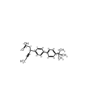 CC#CC(CC(=O)O)c1ccc(-c2ccc(C(C)(C)C)cc2)cc1